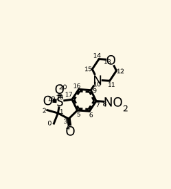 CC1(C)C(=O)c2cc([N+](=O)[O-])c(N3CCOCC3)cc2S1(=O)=O